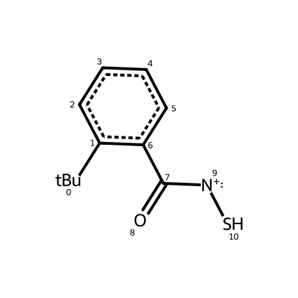 CC(C)(C)c1ccccc1C(=O)[N+]S